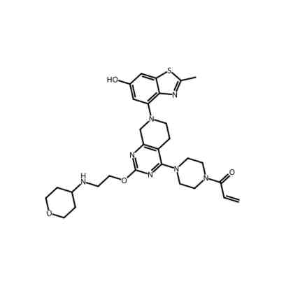 C=CC(=O)N1CCN(c2nc(OCCNC3CCOCC3)nc3c2CCN(c2cc(O)cc4sc(C)nc24)C3)CC1